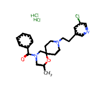 CC1CN(C(=O)c2ccccc2)CC2(CCN(CCc3cncc(Cl)c3)CC2)O1.Cl.Cl